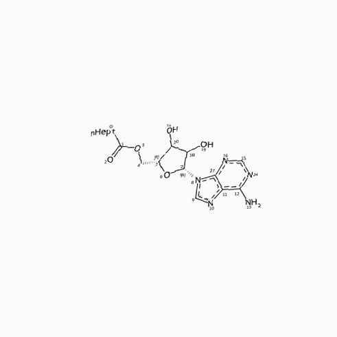 CCCCCCCC(=O)OC[C@H]1O[C@@H](n2cnc3c(N)ncnc32)C(O)C1O